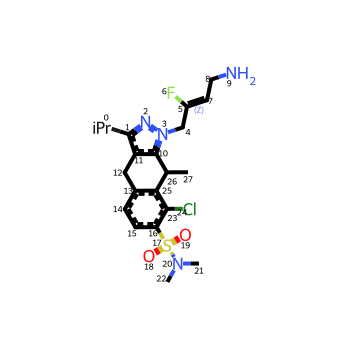 CC(C)c1nn(C/C(F)=C/CN)c2c1Cc1ccc(S(=O)(=O)N(C)C)c(Cl)c1C2C